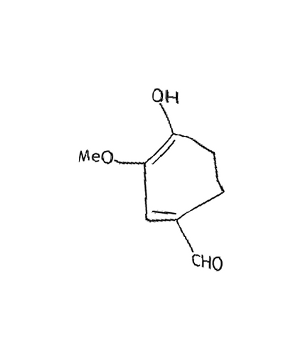 COC1=C(O)CCC(C=O)=C1